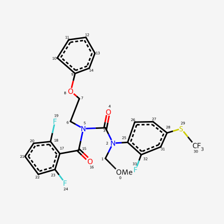 COCN(C(=O)N(CCOc1ccccc1)C(=O)c1c(F)cccc1F)c1ccc(SC(F)(F)F)cc1F